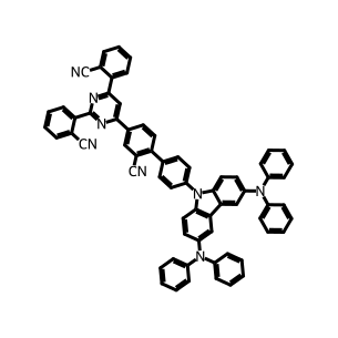 N#Cc1cc(-c2cc(-c3ccccc3C#N)nc(-c3ccccc3C#N)n2)ccc1-c1ccc(-n2c3ccc(N(c4ccccc4)c4ccccc4)cc3c3cc(N(c4ccccc4)c4ccccc4)ccc32)cc1